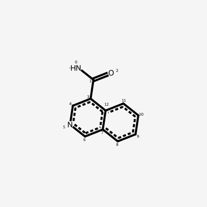 [NH]C(=O)c1cncc2ccccc12